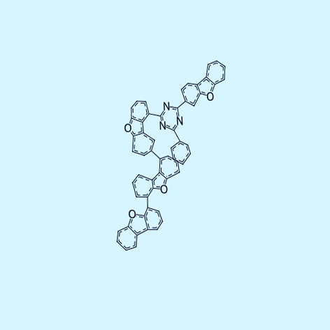 c1ccc(-c2nc(-c3ccc4c(c3)oc3ccccc34)nc(-c3cccc4oc5ccc(-c6cccc7oc8c(-c9cccc%10c9oc9ccccc9%10)cccc8c67)cc5c34)n2)cc1